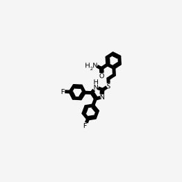 NC(=O)c1ccccc1CCSc1nc(-c2ccc(F)cc2)c(-c2ccc(F)cc2)[nH]1